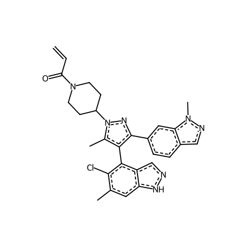 C=CC(=O)N1CCC(n2nc(-c3ccc4cnn(C)c4c3)c(-c3c(Cl)c(C)cc4[nH]ncc34)c2C)CC1